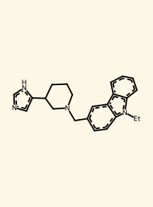 CCn1c2ccccc2c2cc(CN3CCCC(c4cnc[nH]4)C3)ccc21